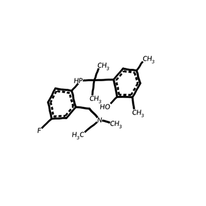 Cc1cc(C)c(O)c(C(C)(C)Pc2ccc(F)cc2CN(C)C)c1